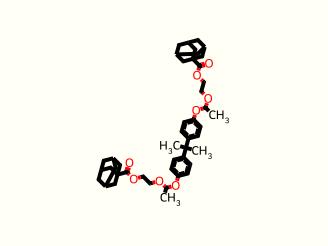 CC(OCCOC(=O)C12CC3CC(CC(C3)C1)C2)Oc1ccc(C(C)(C)c2ccc(OC(C)OCCOC(=O)C34CC5CC(CC(C5)C3)C4)cc2)cc1